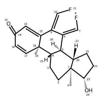 C[C@]12CC[C@H]3[C@@H](C(=CF)C(=CF)C4=CC(=O)C=C[C@@]43C)[C@@H]1CC[C@@H]2O